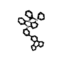 c1ccc(N2c3ccccc3B3c4ccccc4N(c4cccc(-c5ccc6c7ccccc7c7ccccc7c6c5)c4)c4cccc2c43)cc1